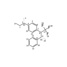 CC[C@H](C)c1ccc(C([C@H](C)c2ccccc2)C(F)(F)F)cc1